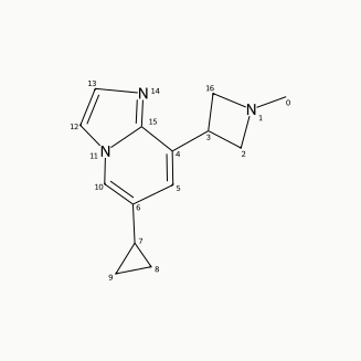 CN1CC(c2cc(C3CC3)cn3ccnc23)C1